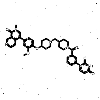 COc1cc(-c2cn(C)c(=O)c3cnccc23)ccc1OC1CCN(CC2CCN(C(=O)c3cccc(-n4ccc(=O)[nH]c4=O)c3)CC2)CC1